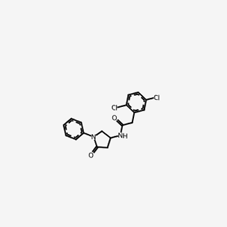 O=C(Cc1cc(Cl)ccc1Cl)NC1CC(=O)N(c2ccccc2)C1